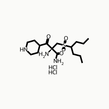 CCCC(CCC)S(=O)(=O)C[C@](N)(C(N)=O)C(=O)C1CCNCC1.Cl.Cl